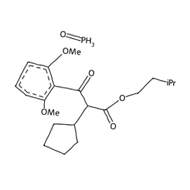 COc1cccc(OC)c1C(=O)C(C(=O)OCCC(C)C)C1CCCC1.O=[PH3]